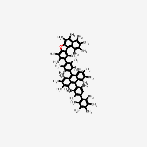 Bc1cc(-c2c(B)c(B)c(B)c(B)c2B)c(B)c(B)c1-c1c2c(B)c(B)c(B)c(B)c2c(-c2c(B)c(B)c(-c3c(B)c(B)c4oc5c(B)c(B)c6c(B)c(B)c(B)c(B)c6c5c4c3B)c(B)c2B)c2c(B)c(B)c(B)c(B)c12